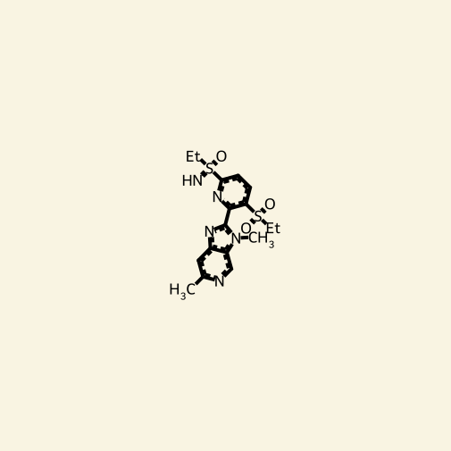 CCS(=N)(=O)c1ccc(S(=O)(=O)CC)c(-c2nc3cc(C)ncc3n2C)n1